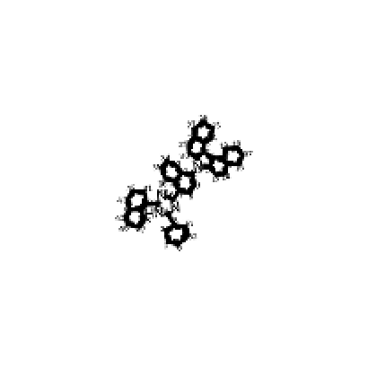 c1ccc(C2N=C(c3ccc(-n4c5ccc6ccccc6c5c5c6ccccc6ccc54)c4ccccc34)N=C(c3cccc4ccccc34)N2)cc1